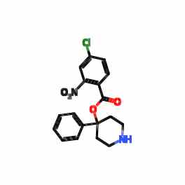 O=C(OC1(c2ccccc2)CCNCC1)c1ccc(Cl)cc1[N+](=O)[O-]